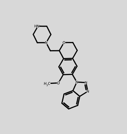 COc1cc2c(cc1-n1nnc3ccccc31)CCOC2CN1CCNCC1